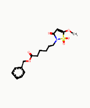 COC1=CC(=O)N(CCCCCC(=O)OCc2ccccc2)S1(=O)=O